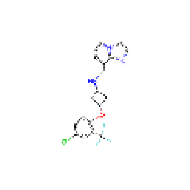 FC(F)(F)c1cc(Cl)ccc1O[C@H]1C[C@H](NCc2cccn3ccnc23)C1